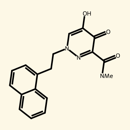 CNC(=O)c1nn(CCc2cccc3ccccc23)cc(O)c1=O